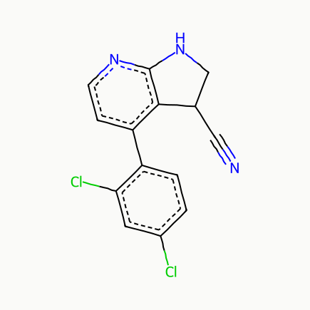 N#CC1CNc2nccc(-c3ccc(Cl)cc3Cl)c21